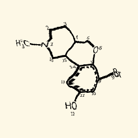 CN1CCC2COc3c(Br)cc(O)cc3C2C1